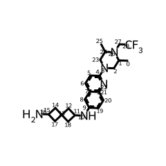 CC1CN(c2ccc3cc(NC4CC5(CC(N)C5)C4)ccc3n2)CC(C)N1CC(F)(F)F